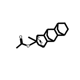 CC(=O)OC1(C)CC2CCC1C1C3CCC(C4C5CCC(CC5)C34)C21